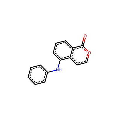 O=c1occc2c(Nc3ccccc3)cccc12